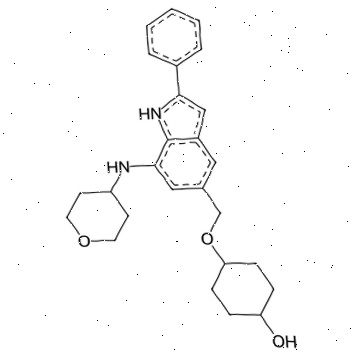 OC1CCC(OCc2cc(NC3CCOCC3)c3[nH]c(-c4ccccc4)cc3c2)CC1